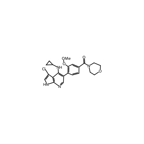 COOc1cc(C(=O)N2CCOCC2)ccc1-c1cnc2[nH]cc(Cl)c2c1NC1CC1